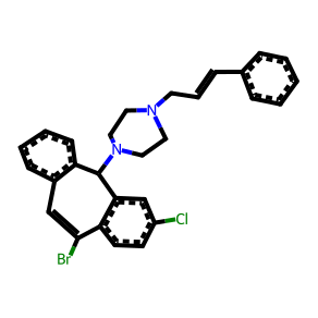 Clc1ccc2c(c1)C(N1CCN(C/C=C/c3ccccc3)CC1)c1ccccc1C=C2Br